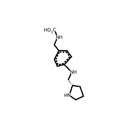 O=C(O)NCc1ccc(NC[C@@H]2CCCN2)cc1